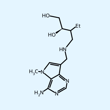 CCC(CNCc1cn(C)c2c(N)ncnc12)[C@@H](O)CO